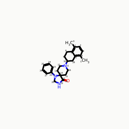 Cc1ccc(C)c2c1CCC(N1CCC3(CC1)C(=O)NCN3c1ccccc1)C2